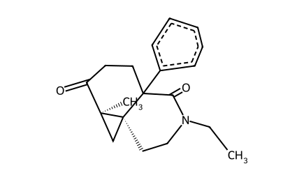 CCN1CC[C@]23C[C@@]2(C)C(=O)CCC3(c2ccccc2)C1=O